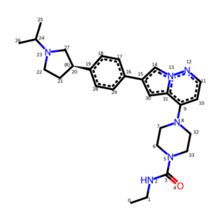 CCNC(=O)N1CCN(c2ccnn3cc(-c4ccc([C@H]5CCN(C(C)C)C5)cc4)cc23)CC1